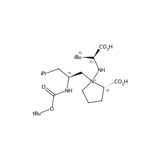 CC[C@H](C)[C@H](N[N+]1(C[C@H](CC(C)C)NC(=O)OC(C)(C)C)CCC[C@H]1C(=O)O)C(=O)O